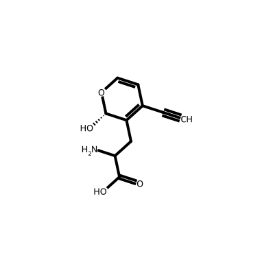 C#CC1=C(CC(N)C(=O)O)[C@H](O)OC=C1